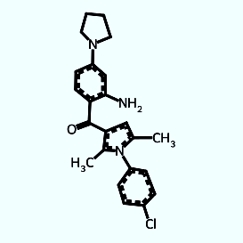 Cc1cc(C(=O)c2ccc(N3CCCC3)cc2N)c(C)n1-c1ccc(Cl)cc1